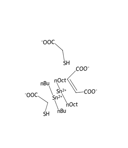 CCCCCCC[CH2][Sn+2][CH2]CCCCCCC.CCC[CH2][Sn+2][CH2]CCC.O=C([O-])/C=C\C(=O)[O-].O=C([O-])CS.O=C([O-])CS